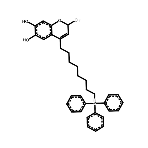 Oc1cc2c(cc1O)C(CCCCCCCC[PH](c1ccccc1)(c1ccccc1)c1ccccc1)=CC(O)O2